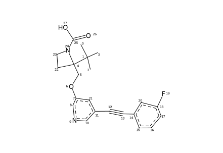 CC(C)(C)C1(COc2cncc(C#Cc3cccc(F)c3)c2)CCN1C(=O)O